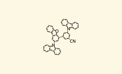 N#Cc1cc(-c2cc(-n3c4ccccc4c4ccccc43)cc3c2oc2ccccc23)cc(-n2c3ccccc3c3ccccc32)c1